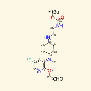 CN(c1cc(F)cnc1OCC=O)C1CCC(NCCNC(=O)OC(C)(C)C)CC1